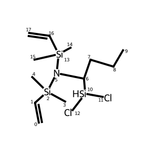 C=C[Si](C)(C)N(C(CCC)[SiH](Cl)Cl)[Si](C)(C)C=C